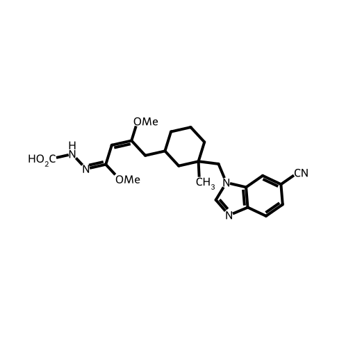 CO/C(=C/C(=N\NC(=O)O)OC)CC1CCCC(C)(Cn2cnc3ccc(C#N)cc32)C1